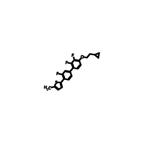 Cc1ccc(-c2ccc(-c3ccc(OCCC4CC4)c(F)c3F)cc2F)s1